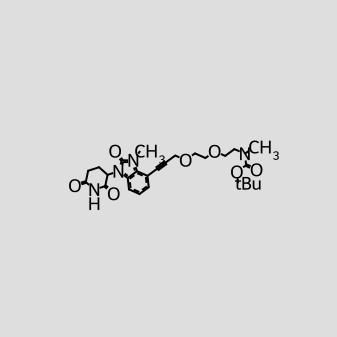 CN(CCOCCOCC#Cc1cccc2c1n(C)c(=O)n2C1CCC(=O)NC1=O)C(=O)OC(C)(C)C